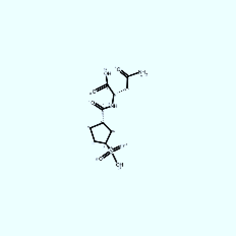 NC(=O)C[C@H](NC(=O)[C@H]1CC[C@H](S(=O)(=O)O)C1)C(=O)O